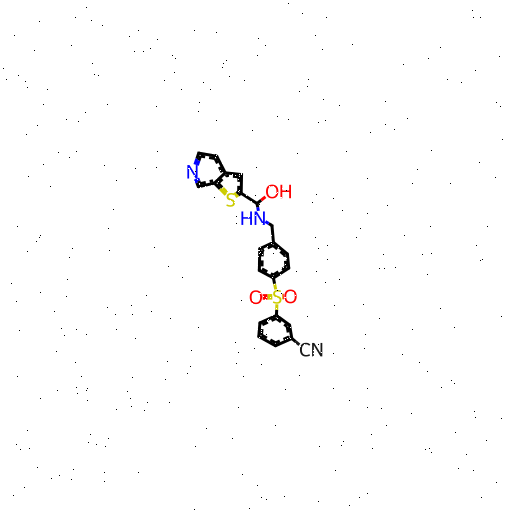 N#Cc1cccc(S(=O)(=O)c2ccc(CNC(O)c3cc4ccncc4s3)cc2)c1